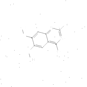 COc1cc2nc(Br)nc(Br)c2cc1OC